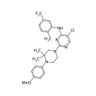 COc1ccc(N2CCN(c3ncc(Cl)c(Nc4cc(C(F)(F)F)ccc4C)n3)CC2(C)C)cc1